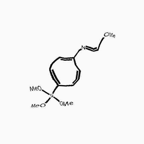 COC=Nc1ccc([Si](OC)(OC)OC)cc1